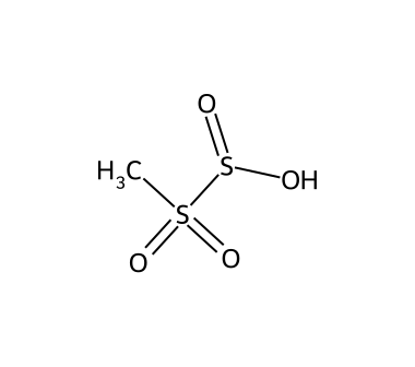 CS(=O)(=O)S(=O)O